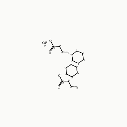 C1CCCCC1.C1CCCCC1.CCCC(=O)[O-].CCCC(=O)[O-].[Cd+2]